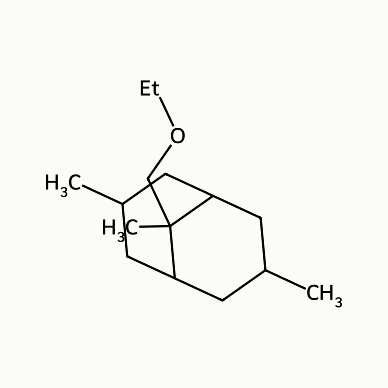 CCOCC1(C)C2CC(C)CC1CC(C)C2